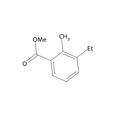 CCc1cccc(C(=O)OC)c1C